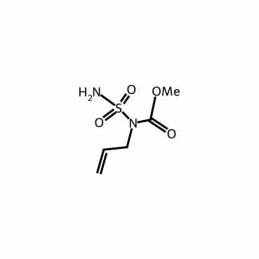 C=CCN(C(=O)OC)S(N)(=O)=O